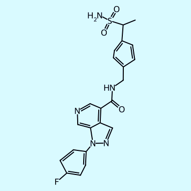 CC(c1ccc(CNC(=O)c2cncc3c2cnn3-c2ccc(F)cc2)cc1)S(N)(=O)=O